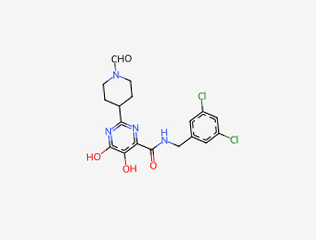 O=CN1CCC(c2nc(O)c(O)c(C(=O)NCc3cc(Cl)cc(Cl)c3)n2)CC1